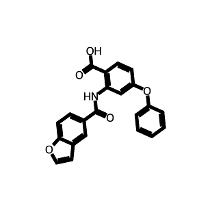 O=C(Nc1cc(Oc2ccccc2)ccc1C(=O)O)c1ccc2occc2c1